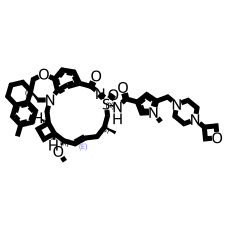 CO[C@H]1/C=C/C[C@H](C)C[S@@](=O)(NC(=O)c2cc(CN3CCN(C4COC4)CC3)n(C)c2)=NC(=O)c2ccc3c(c2)N(C[C@@H]2CC[C@H]21)C[C@@]1(CCCc2cc(C)ccc21)CO3